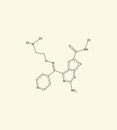 CCNC(=O)c1cc2c(C(=NOCCN(CC)CC)c3ccncc3)nc(N)nc2s1